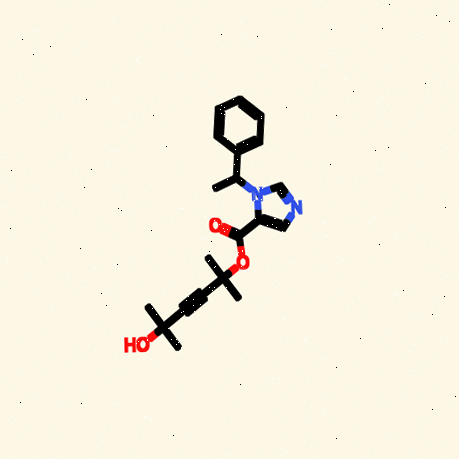 CC(c1ccccc1)n1cncc1C(=O)OC(C)(C)C#CC(C)(C)O